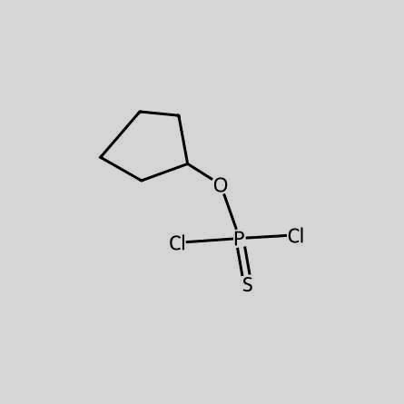 S=P(Cl)(Cl)OC1CCCC1